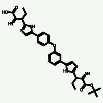 CCC(C(=N)C(=O)O)c1ncc(-c2ccc(Oc3cccc(-c4cnc(C(CC)C(=N)C(=O)OC(C)(C)C)[nH]4)c3)cc2)[nH]1